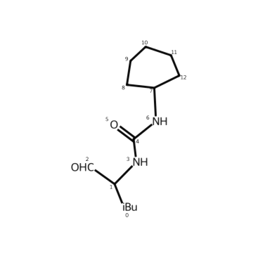 CCC(C)C(C=O)NC(=O)NC1CCCCC1